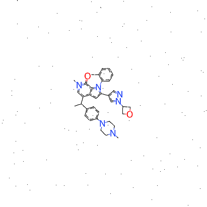 Cc1ccccc1-n1c(-c2cnn(C3COC3)c2)cc2c(C(C)c3ccc(N4CCN(C)CC4)cc3)cn(C)c(=O)c21